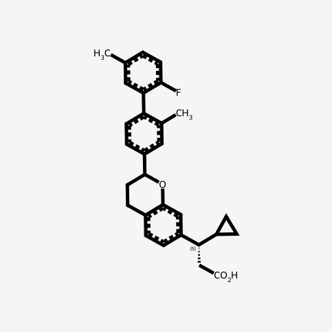 Cc1ccc(F)c(-c2ccc(C3CCc4ccc([C@@H](CC(=O)O)C5CC5)cc4O3)cc2C)c1